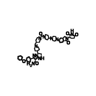 NC(=O)c1c(-c2ccc(Oc3ccccc3)cc2)nn2c1NCCC2C1CCN(CC2CCN(C(=O)N3CCC(N4CCN(c5ccc6c(c5)CN(C5CCC(=O)NC5=O)C6=O)CC4)CC3)CC2)CC1